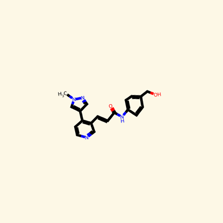 Cn1cc(-c2ccncc2/C=C/C(=O)Nc2ccc(CO)cc2)cn1